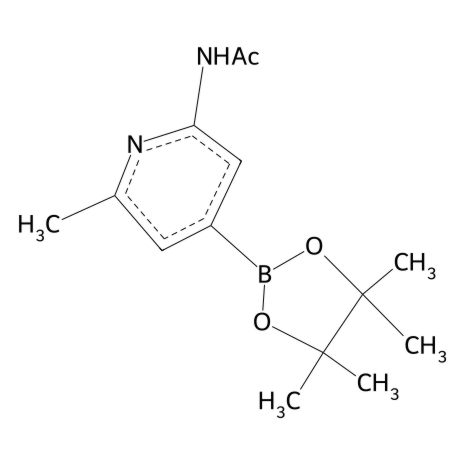 CC(=O)Nc1cc(B2OC(C)(C)C(C)(C)O2)cc(C)n1